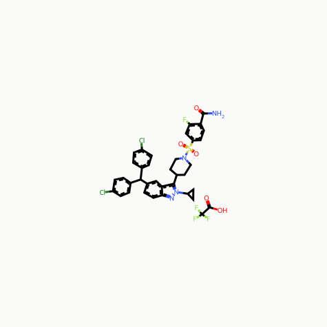 NC(=O)c1ccc(S(=O)(=O)N2CCC(c3c4cc(C(c5ccc(Cl)cc5)c5ccc(Cl)cc5)ccc4nn3C3CC3)CC2)cc1F.O=C(O)C(F)(F)F